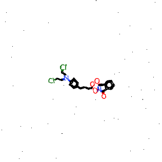 O=C(CCCc1ccc(N(CCCl)CCCl)cc1)ON1C(=O)c2ccccc2C1=O